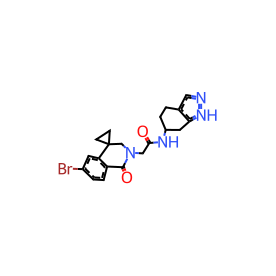 O=C(CN1CC2(CC2)c2cc(Br)ccc2C1=O)NC1CCc2cn[nH]c2C1